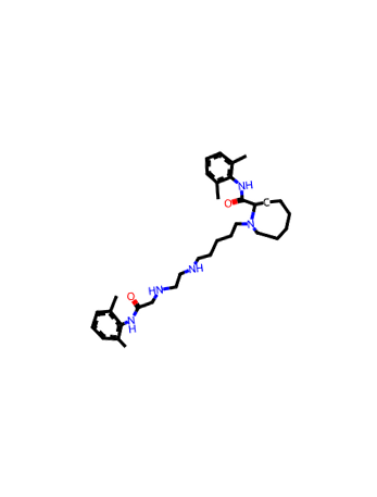 Cc1cccc(C)c1NC(=O)CNCCNCCCCCN1CCCCCCC1C(=O)Nc1c(C)cccc1C